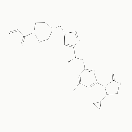 C=CC(=O)N1CCN(Cn2cnc([C@H](C)Nc3nc(C)nc(N4C(=O)NCC4C4CC4)n3)c2)CC1